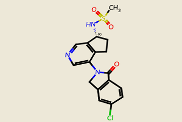 CS(=O)(=O)N[C@@H]1CCc2c1cncc2N1Cc2cc(Cl)ccc2C1=O